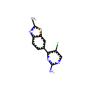 Cc1nc2ccc(-c3nc(N)ncc3F)cc2s1